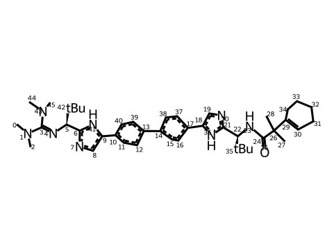 CN(C)C(=N[C@H](c1ncc(-c2ccc(-c3ccc(-c4cnc([C@@H](NC(=O)C(C)(C)C5=CCCCC5)C(C)(C)C)[nH]4)cc3)cc2)[nH]1)C(C)(C)C)N(C)C